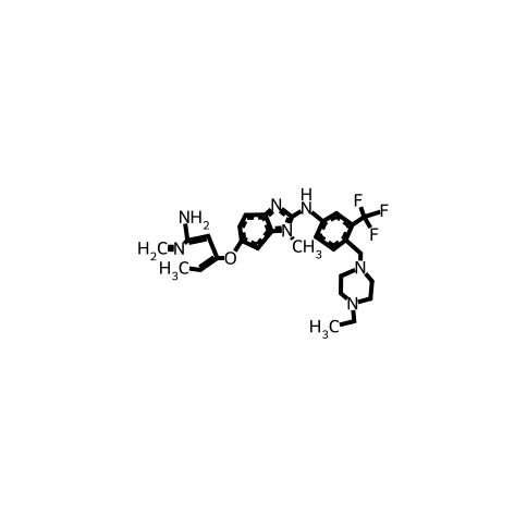 C=N/C(N)=C\C(=C/C)Oc1ccc2nc(Nc3ccc(CN4CCN(CC)CC4)c(C(F)(F)F)c3)n(C)c2c1